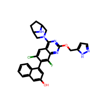 Oc1cc(-c2c(Cl)cc3c(N4CC5CCC(C4)N5)nc(OCc4ccn[nH]4)nc3c2F)c2ccccc2c1